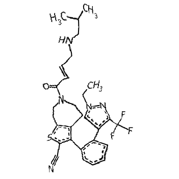 CCn1cc(-c2ccccc2-c2c(C#N)sc3c2CCN(C(=O)C=CCNCC(C)C)C3)c(C(F)(F)F)n1